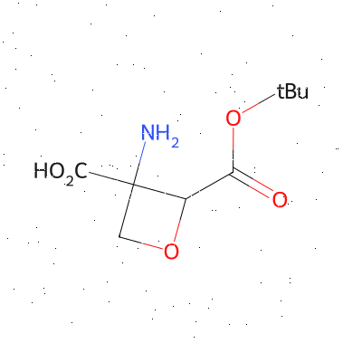 CC(C)(C)OC(=O)C1OCC1(N)C(=O)O